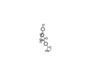 COc1ccc(-n2cc(C(=O)Nc3ccc(C4CNCCO4)cc3)nn2)cc1.Cl